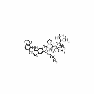 CN[C@@H](C)C(=O)N[C@H](C(=O)N1CCC[C@H]1C(=O)Nc1cc2c(Nc3c(Cl)ccc4c3OCO4)ncnc2cc1OCCOC)C(C)(C)C